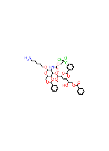 COC(OC1C(NC(=O)OCC(Cl)(Cl)Cl)C(OCCCCCN)OC2COC(c3ccccc3)OC21)[C@H](/C=C/[C@H](O)COC(=O)c1ccccc1)OC(=O)c1ccccc1